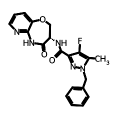 Cc1c(F)c(C(=O)N[C@H]2COc3cccnc3NC2=O)nn1Cc1ccccc1